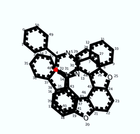 c1ccc(-c2nc(-c3ccccc3)nc(-c3cccc4oc5ccc6oc7cccc(-n8c9ccccc9c9ccccc98)c7c6c5c34)n2)cc1